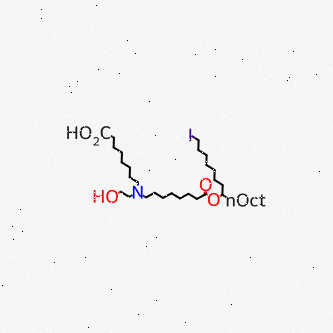 CCCCCCCCC(CCCCCCCI)OC(=O)CCCCCCCN(CCO)CCCCCCCC(=O)O